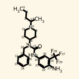 CCCC(C)N1CCC(N(Cc2ccccc2)C(=O)Nc2ccc(N)c(C(F)(F)F)c2)CC1